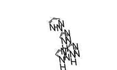 c1c[nH]nn1.c1c[nH]nn1.c1c[nH]nn1.c1cnnnc1